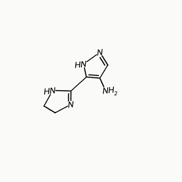 Nc1cn[nH]c1C1=NCCN1